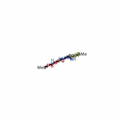 COCCOCCC(=O)NCCOCCOCCC(=O)NCCCC[C@H](NC(=N)SSCSSCSSC)C(=O)O